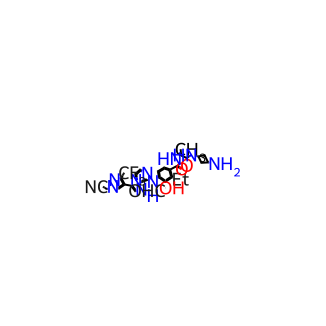 CCc1cc(Nc2nccn3c(-c4cn(CC#N)nc4C(F)(F)F)cnc23)ccc1C(=O)NC(C)C(=O)NC1CC(N)C1.O=CO